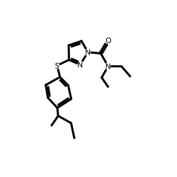 CCC(C)c1ccc(Sc2ccn(C(=O)N(CC)CC)n2)cc1